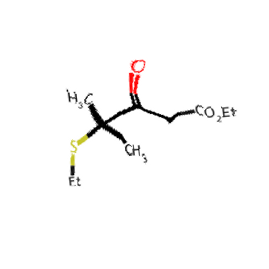 CCOC(=O)CC(=O)C(C)(C)SCC